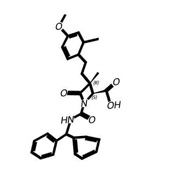 COC1=CC(C)C(CC[C@@]2(C)C(=O)N(C(=O)NC(c3ccccc3)c3ccccc3)[C@@H]2C(=O)O)C=C1